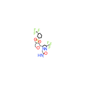 CNC(=O)Cn1nc(C(F)(F)F)cc1C1CC(C)(S(=O)(=O)c2cccc(C(F)(F)F)c2)CCO1